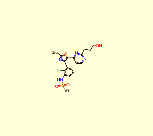 CCCS(=O)(=O)Nc1cccc(-c2nc(C(C)(C)C)sc2-c2ccnc(CCCO)n2)c1F